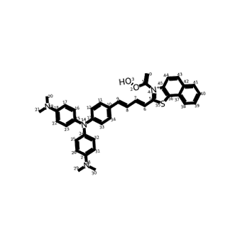 C=C(OO)[n+]1c(/C=C/C=C/c2ccc(N(c3ccc(N(C)C)cc3)c3ccc(N(C)C)cc3)cc2)sc2c3ccccc3ccc21